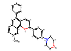 COc1ccc2cc(-c3ccccc3)c3c(c2c1)OC(c1ccc(N2CCOCC2)cc1)C=C3